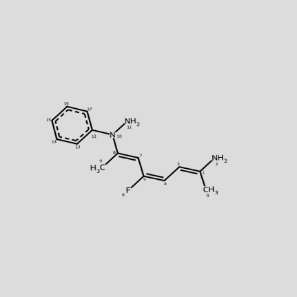 C\C(N)=C/C=C(F)\C=C(/C)N(N)c1ccccc1